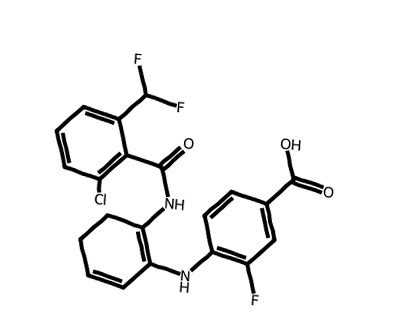 O=C(O)c1ccc(NC2=C(NC(=O)c3c(Cl)cccc3C(F)F)CCC=C2)c(F)c1